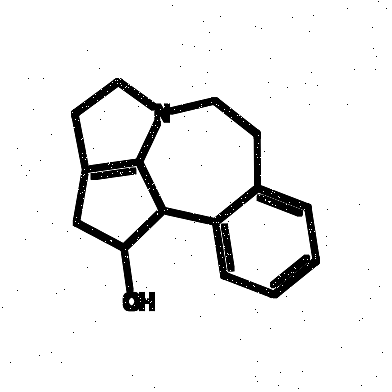 OC1CC2=C3C1c1ccccc1CCN3CC2